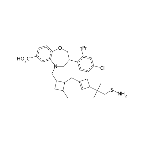 CCCc1cc(Cl)ccc1C1COc2ccc(C(=O)O)cc2N(CC2CC(C)C2CC2=CC(C(C)(C)CSN)C2)C1